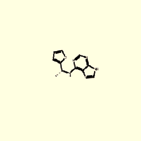 C[C@@H](Nc1ncnc2[nH]cnc12)c1ccco1